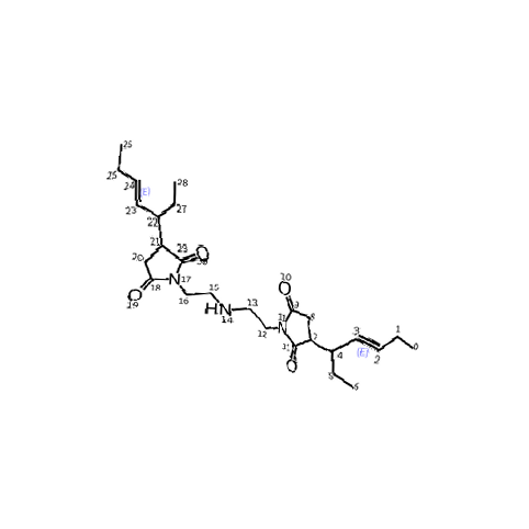 CC/C=C/C(CC)C1CC(=O)N(CCNCCN2C(=O)CC(C(/C=C/CC)CC)C2=O)C1=O